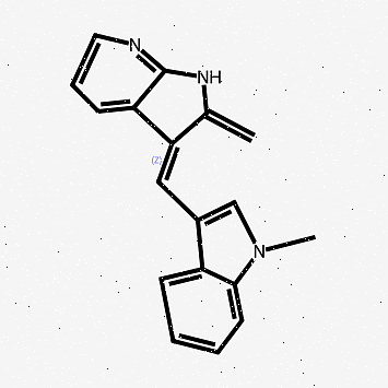 C=c1[nH]c2ncccc2/c1=C/c1cn(C)c2ccccc12